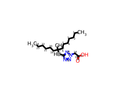 CCCCCCCC(C)(Bc1nnn(CC(=O)O)n1)CCCCCC